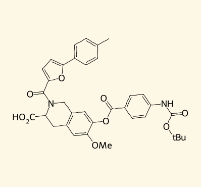 COc1cc2c(cc1OC(=O)c1ccc(NC(=O)OC(C)(C)C)cc1)CN(C(=O)c1ccc(-c3ccc(C)cc3)o1)C(C(=O)O)C2